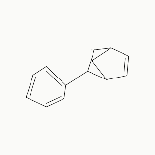 [CH]1C2C=CC(C2)C1c1ccccc1